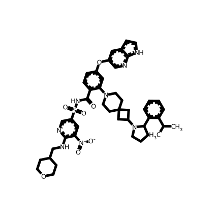 CC(C)c1ccccc1C1CCCN1C1CC2(CCN(c3cc(Oc4cnc5[nH]ccc5c4)ccc3C(=O)NS(=O)(=O)c3cnc(NCC4CCOCC4)c([N+](=O)[O-])c3)CC2)C1